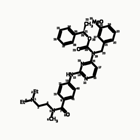 CCN(CC)CCN(C)C(=O)c1ccc(Nc2nccc(N(Cc3cccc(OC)c3)C(=O)O[C@@H](C)c3ccccc3)n2)cc1